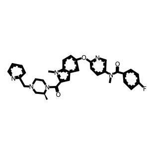 C[C@H]1CN(Cc2ccccn2)CCN1C(=O)c1cc2cc(Oc3ccc(N(C)C(=O)c4ccc(F)cc4)cn3)ccc2n1C